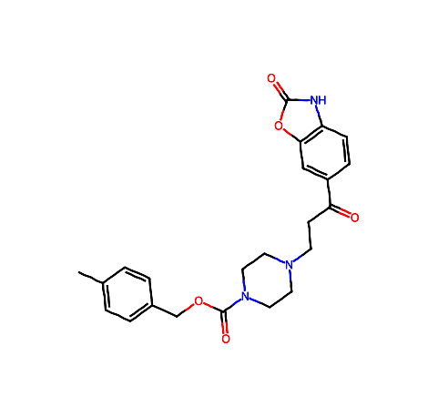 Cc1ccc(COC(=O)N2CCN(CCC(=O)c3ccc4[nH]c(=O)oc4c3)CC2)cc1